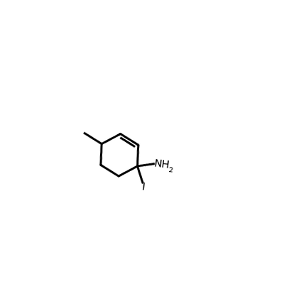 CC1C=CC(N)(I)CC1